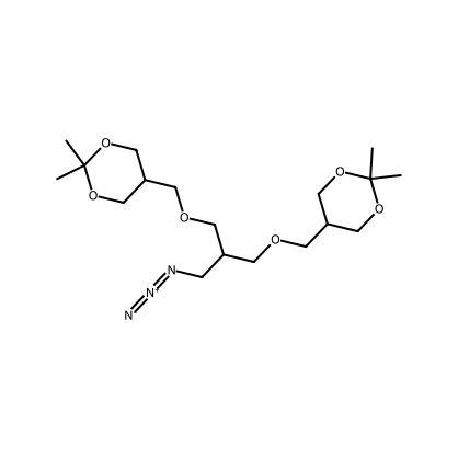 CC1(C)OCC(COCC(CN=[N+]=[N-])COCC2COC(C)(C)OC2)CO1